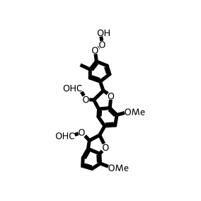 COc1cccc2c1OC(c1cc(OC)c3c(c1)C(OC=O)C(c1ccc(OOO)c(C)c1)O3)C2OC=O